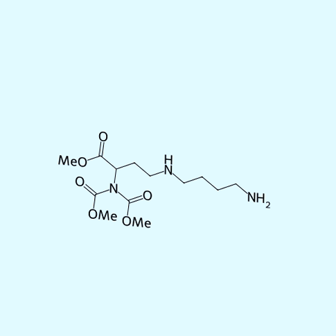 COC(=O)C(CCNCCCCN)N(C(=O)OC)C(=O)OC